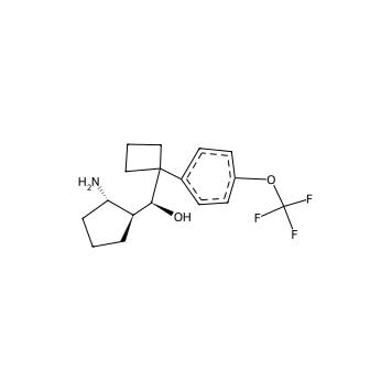 N[C@H]1CCC[C@@H]1[C@H](O)C1(c2ccc(OC(F)(F)F)cc2)CCC1